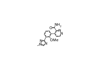 COc1c(-c2ncn(C)n2)cccc1-c1ccnnc1C(N)=O